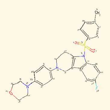 Cc1ccc(S(=O)(=O)n2c3c(c4cc(F)ccc42)CN(c2ccc(N4CCOCC4)cc2)CC3)cc1